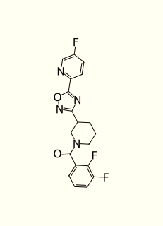 O=C(c1cccc(F)c1F)N1CCCC(c2noc(-c3ccc(F)cn3)n2)C1